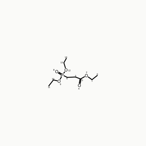 CCOC(=O)CCP(=O)(OCC)OCC